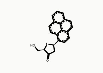 O=C1C[C@H](c2ccc3ccc4cccc5ccc2c3c45)O[C@@H]1CO